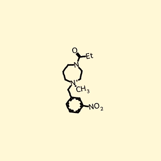 CCC(=O)N1CCC[N+](C)(Cc2cccc([N+](=O)[O-])c2)CC1